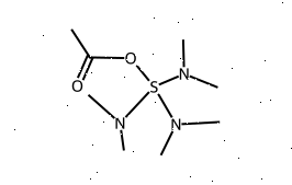 CC(=O)OS(N(C)C)(N(C)C)N(C)C